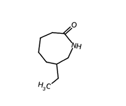 CCC1CCCCC(=O)NC1